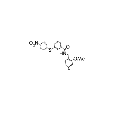 COc1cc(F)ccc1CNC(=O)c1cccc(Sc2ccc([N+](=O)[O-])cc2)c1